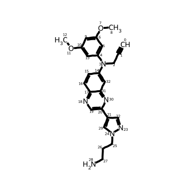 C#CCN(c1cc(OC)cc(OC)c1)c1ccc2ncc(-c3cnn(CCCN)c3)nc2c1